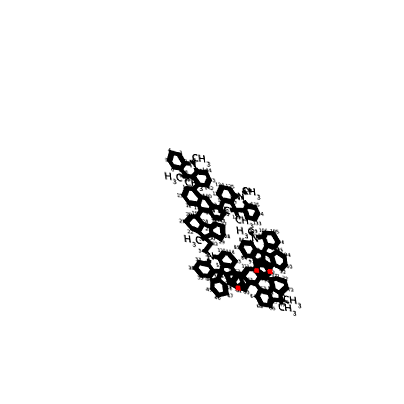 CN1c2ccccc2C(C)(C)c2c(-c3cccc4c(-c5cccc6c5-c5ccccc5C6(C)CCN5c6ccccc6C(c6ccccc6)(c6ccccc6)c6c(-c7cccc8c(-c9cccc%10c9-c9ccccc9C%10(C)C)c9cccc(-c%10cccc%11c%10C(c%10ccccc%10)(c%10ccccc%10)c%10ccccc%10N%11C)c9cc78)cccc65)c5cccc(-c6cccc7c6C(C)(C)c6ccccc6N7C)c5cc34)cccc21